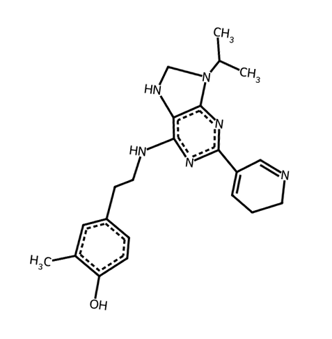 Cc1cc(CCNc2nc(C3=CCCN=C3)nc3c2NCN3C(C)C)ccc1O